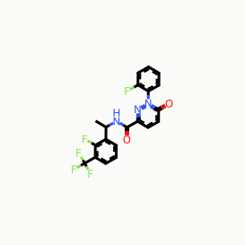 CC(NC(=O)c1ccc(=O)n(-c2ccccc2F)n1)c1cccc(C(F)(F)F)c1F